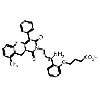 CC1=C(c2ccccc2)C(=O)N(CC[C@H](N)c2ccccc2OCCCC(=O)O)C(=O)C1Cc1c(F)cccc1C(F)(F)F